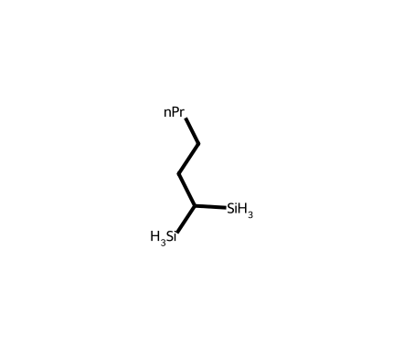 CCCCCC([SiH3])[SiH3]